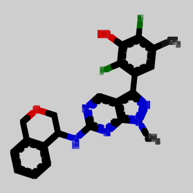 Cn1nc(-c2cc(C(F)(F)F)c(F)c(O)c2F)c2cnc(NC3COCc4ccccc43)nc21